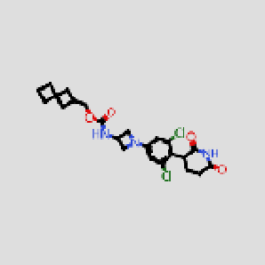 O=C1CCC(c2c(Cl)cc(N3CC(NC(=O)OCC4CC5(CCC5)C4)C3)cc2Cl)C(=O)N1